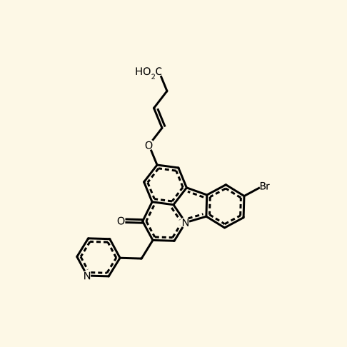 O=C(O)C/C=C/Oc1cc2c(=O)c(Cc3cccnc3)cn3c4ccc(Br)cc4c(c1)c23